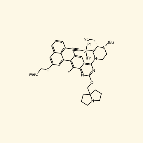 COCOc1cc(-c2c(F)cc3c(N4CCN(C(C)(C)C)[C@@H](CC#N)C4)nc(OCC45CCCN4CCC5)nc3c2F)c2c(C#C[Si](C(C)C)(C(C)C)C(C)C)cccc2c1